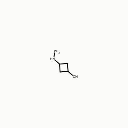 OC1CC(NP)C1